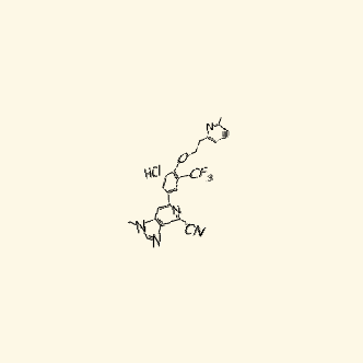 Cc1cccc(CCOc2ccc(-c3cc4c(ncn4C)c(C#N)n3)cc2C(F)(F)F)n1.Cl